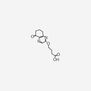 O=C(O)CCCOc1cnc2c(n1)CCCC2=O